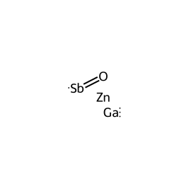 [Ga].[O]=[Sb].[Zn]